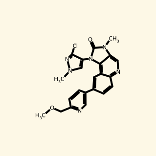 COCc1ccc(-c2ccc3ncc4c(c3c2)n(-c2cn(C)nc2Cl)c(=O)n4C)cn1